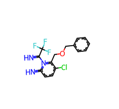 N=C(n1c(COCc2ccccc2)c(Cl)ccc1=N)C(F)(F)F